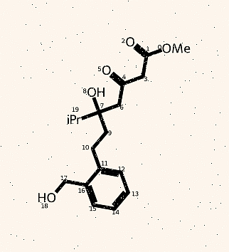 COC(=O)CC(=O)CC(O)(CCc1ccccc1CO)C(C)C